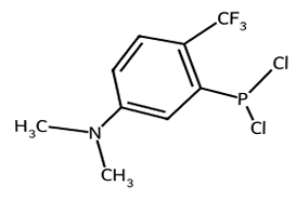 CN(C)c1ccc(C(F)(F)F)c(P(Cl)Cl)c1